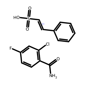 NC(=O)c1ccc(F)cc1Cl.O=S(=O)(O)/C=C/c1ccccc1